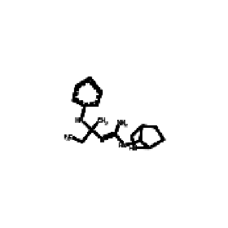 CC(CC(F)(F)F)(/N=C(\N)NC1C2CCC1NC2)Nc1ccccc1